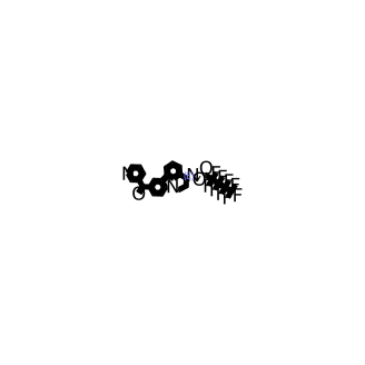 O=C(c1cccnc1)c1ccc2c(c1)c1cccc3c1n2CC/C3=N\OC(=O)C(F)(F)C(F)(F)C(F)(F)C(F)(F)F